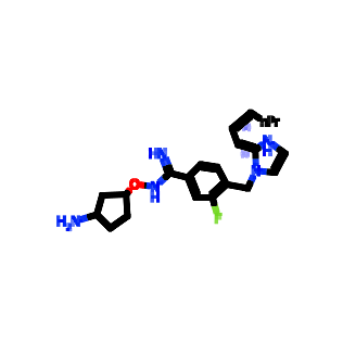 CCC/C=C\C=C1/NC=CN1Cc1ccc(C(=N)NOC2CCC(N)C2)cc1F